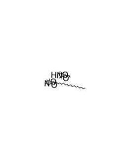 C=CC(=O)OC1CC(C)(C)NC(C)(C)C1.CCCCCCCCCCCCCCCCCC(=O)OC1CCN(C)C(C)(C)C1C